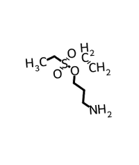 C=C.CCS(=O)(=O)OCCCN